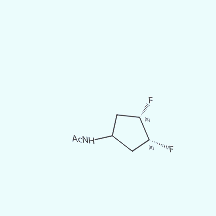 CC(=O)NC1C[C@@H](F)[C@@H](F)C1